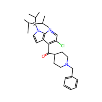 CC(C)[Si](C(C)C)(C(C)C)n1ccc2c(C(=O)C3CCN(Cc4ccccc4)CC3)c(Cl)cnc21